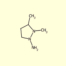 CC1CCN(N)N1C